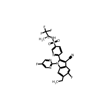 CCc1cc2c(cc1F)c(C#N)c(-c1ccc(S(=O)(=O)N[C@@H](C)C(F)(F)F)cn1)n2-c1ncc(F)cn1